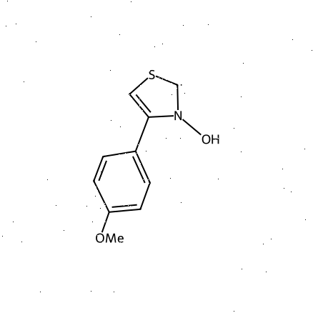 COc1ccc(C2=CS[CH]N2O)cc1